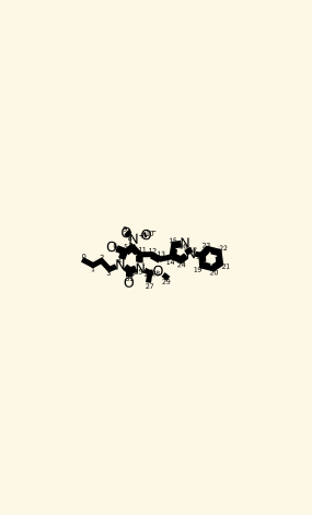 CCCCn1c(=O)c([N+](=O)[O-])c(C=Cc2cnn(-c3ccccc3)c2)n(C(C)OC)c1=O